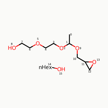 CC(OCCOCCO)OCC1CO1.CCCCCCO